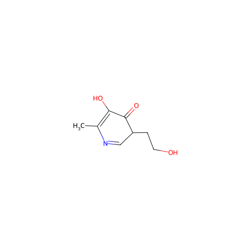 CC1=C(O)C(=O)C(CCO)C=N1